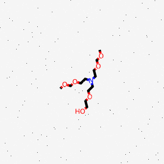 COCOCCN(CCOCCO)CCOCOC